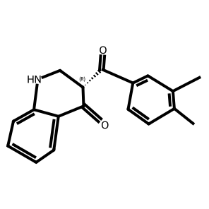 Cc1ccc(C(=O)[C@H]2CNc3ccccc3C2=O)cc1C